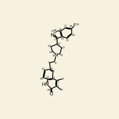 Cc1c(C)c2cc(CCN3CCC(c4nsc5cc(F)ccc45)CC3)ccc2[nH]c1=O